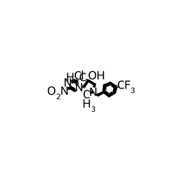 CN(Cc1ccc(C(F)(F)F)cc1)C[C@](C)(O)Cn1cc([N+](=O)[O-])nc1Cl